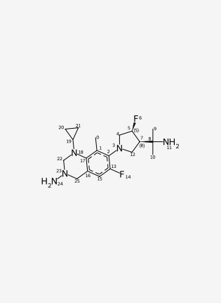 Cc1c(N2C[C@@H](F)[C@@H](C(C)(C)N)C2)c(F)cc2c1N(C1CC1)CN(N)C2